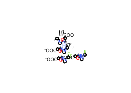 C[C@H](NC(=O)C1CCCCN1Cc1ccc(F)c(F)c1)c1ccc(C(=O)[O-])cc1.C[C@H](NC(=O)C1CCCCN1Cc1cccc(C(F)(F)F)c1)c1ccc(C(=O)[O-])cc1.C[C@H](NC(=O)C1CCCCN1Cc1cccc(F)c1)c1ccc(C(=O)[O-])cc1.Cc1cccc(CN2CCCCC2C(=O)N[C@@H](C)c2ccc(C(=O)[O-])cc2)c1.[Li+].[Li+].[Li+].[Li+]